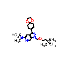 CN(C(=O)O)c1cc2c(C3=CCC4(CC3)OCCO4)nn(COCC[Si](C)(C)C)c2cn1